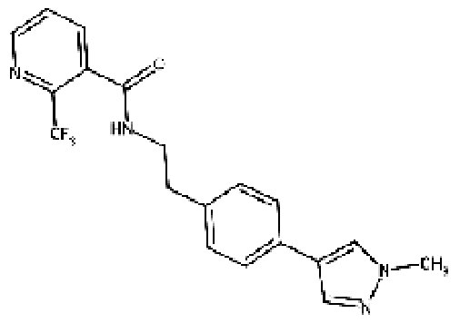 Cn1cc(-c2ccc(CCNC(=O)c3cccnc3C(F)(F)F)cc2)cn1